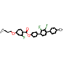 CCCCOc1ccc(C(=O)Oc2ccc(-c3ccc(-c4ccc(C)cc4)c(F)c3F)cc2)c(F)c1